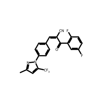 Cc1cc(C(F)(F)F)n(-c2ccc(C=C(C#N)C(=O)c3cc(F)ccc3F)cc2)n1